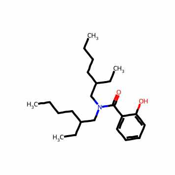 CCCCC(CC)CN(CC(CC)CCCC)C(=O)c1ccccc1O